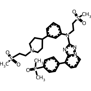 CP(C)(=O)c1ccc(-c2cccn3nc(N(CCS(C)(=O)=O)c4cccc(C5CCN(CCS(C)(=O)=O)CC5)c4)nc23)cc1